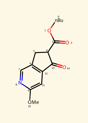 CCCCOC(=O)C1Cc2cnc(OC)cc2C1=O